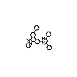 c1ccc(-c2ccc3c(c2)c2cc(-c4nc(-c5ccccc5)cc(-c5ccccc5)n4)ccc2c2c3nc3ccccn32)cc1